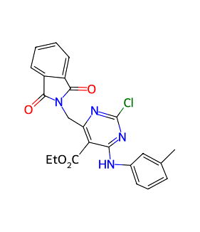 CCOC(=O)c1c(CN2C(=O)c3ccccc3C2=O)nc(Cl)nc1Nc1cccc(C)c1